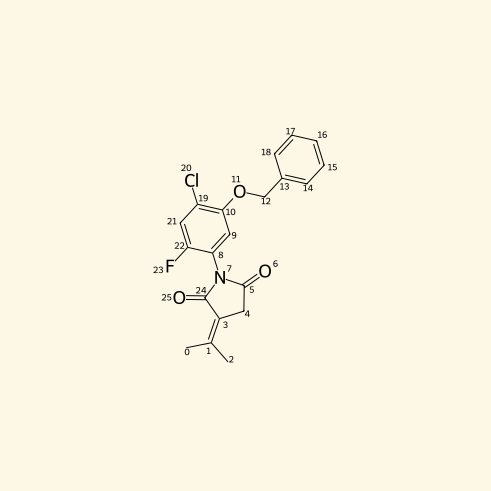 CC(C)=C1CC(=O)N(c2cc(OCc3ccccc3)c(Cl)cc2F)C1=O